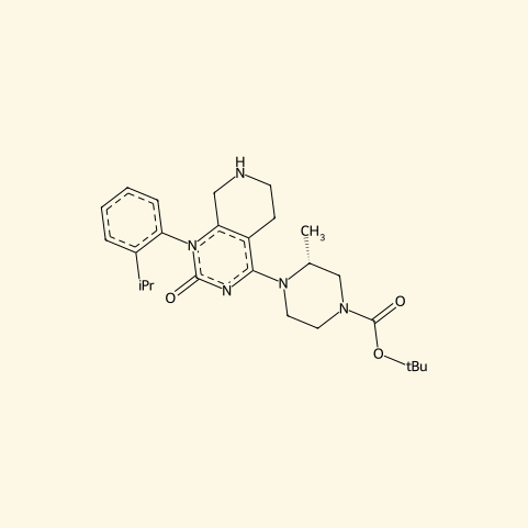 CC(C)c1ccccc1-n1c2c(c(N3CCN(C(=O)OC(C)(C)C)C[C@H]3C)nc1=O)CCNC2